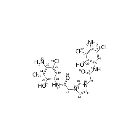 Nc1c(Cl)cc(NC(=O)Cn2cc[n+](CC(=O)Nc3cc(Cl)c(N)c(Cl)c3O)c2)c(O)c1Cl